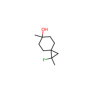 CC1(O)CCC2(CC1)CC2(C)F